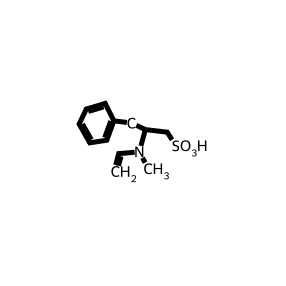 C=CN(C)C(Cc1ccccc1)CS(=O)(=O)O